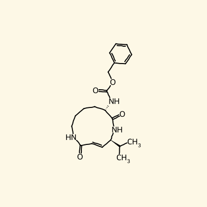 CC(C)[C@H]1/C=C/C(=O)NCCCC[C@H](NC(=O)OCc2ccccc2)C(=O)N1